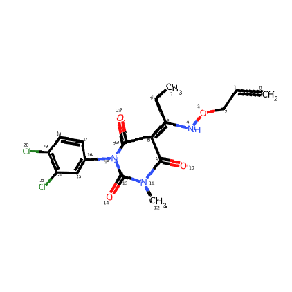 C=CCON/C(CC)=C1\C(=O)N(C)C(=O)N(c2ccc(Cl)c(Cl)c2)C1=O